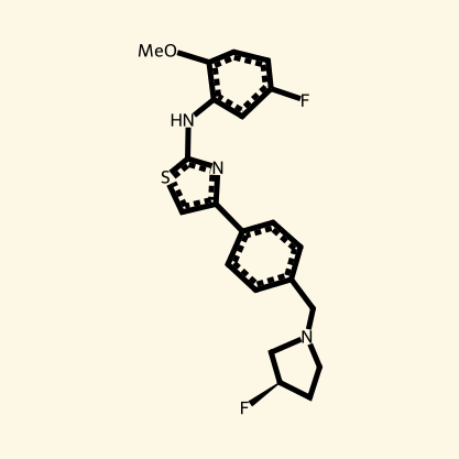 COc1ccc(F)cc1Nc1nc(-c2ccc(CN3CC[C@@H](F)C3)cc2)cs1